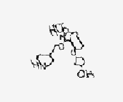 Cl.O[C@H]1CC[C@H](Oc2cccc3onc(OCC4CCNCC4)c23)C1